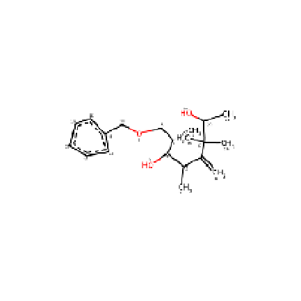 C=C(C(C)C(O)[C@@H](C)COCc1ccccc1)C(C)(C)C(C)O